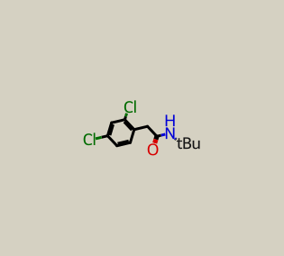 CC(C)(C)NC(=O)Cc1ccc(Cl)cc1Cl